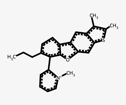 CCCc1ccc2c(oc3cc4sc(C)c(C)c4cc32)c1-c1cccc[n+]1C